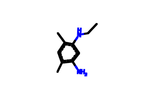 CCNc1cc(N)c(C)cc1C